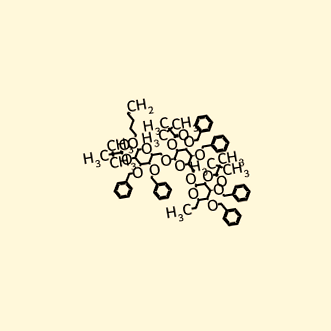 C=CCCCO[C@@H]1OC(CO[C@@H]2OC(CO[C@@H]3OC(CC)[C@@H](OCc4ccccc4)[C@@H](OCc4ccccc4)C3OC(=O)C(C)(C)C)[C@@H](OCc3ccccc3)[C@@H](OCc3ccccc3)C2OC(=O)C(C)(C)C)[C@H](OCc2ccccc2)[C@@H](OCc2ccccc2)C1OC(=O)C(C)(C)C